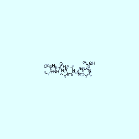 CCc1[nH]c(C(=O)N2CCC3CN(c4nc5ccnc(C(=O)O)c5s4)CC[C@H]32)nc1Cl